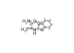 C[C@H](Nc1nc2ccccc2o1)C(N)=O